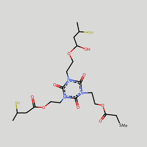 CSCC(=O)OCCn1c(=O)n(CCOC(=O)CC(C)S)c(=O)n(CCOC(O)CC(C)S)c1=O